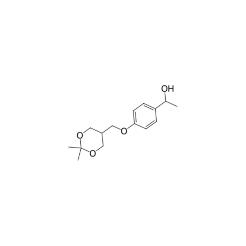 CC(O)c1ccc(OCC2COC(C)(C)OC2)cc1